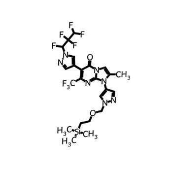 Cc1cn2c(=O)c(-c3cnn(C(F)C(F)(F)C(F)F)c3)c(C(F)(F)F)nc2n1-c1cnn(COCC[Si](C)(C)C)c1